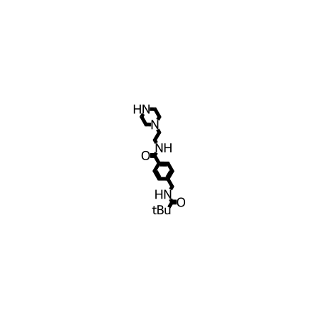 CC(C)(C)C(=O)NCc1ccc(C(=O)NCCN2CCNCC2)cc1